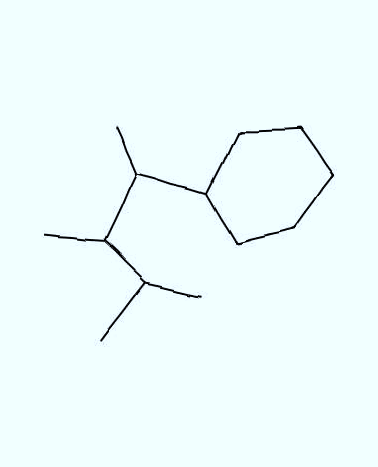 CC(C)C(C)C(C)C1CCCCC1